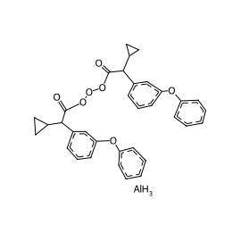 O=C(OOOC(=O)C(c1cccc(Oc2ccccc2)c1)C1CC1)C(c1cccc(Oc2ccccc2)c1)C1CC1.[AlH3]